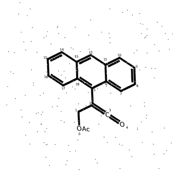 CC(=O)OCC(=C=O)c1c2ccccc2cc2ccccc12